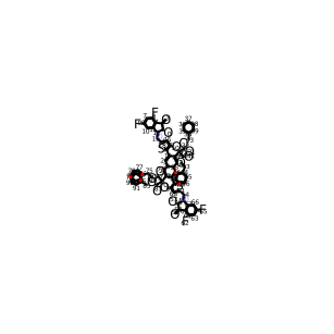 O=C1C(=O)c2c(F)cc(F)cc2/C1=C/c1cc2c(s1)C1=CC3C=C4C(=CC3C=C1C(C(=O)OCc1ccccc1)(C(=O)OCc1ccccc1)O2)c1sc(/C=C2\C(=O)C(=O)c3c(F)cc(F)cc32)cc1OC4(C(=O)OCc1ccccc1)C(=O)OCc1ccccc1